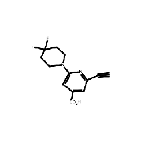 C#Cc1cc(C(=O)O)cc(N2CCC(F)(F)CC2)n1